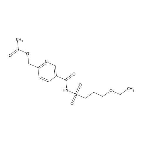 CCOCCCS(=O)(=O)NC(=O)c1ccc(COC(C)=O)nc1